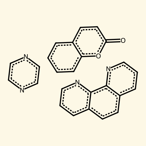 O=c1ccc2ccccc2o1.c1cnc2c(c1)ccc1cccnc12.c1cnccn1